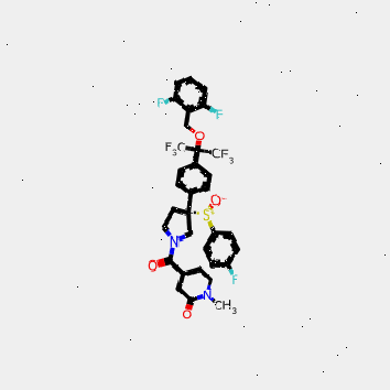 CN1CCC(C(=O)N2CC[C@](c3ccc(C(OCc4c(F)cccc4F)(C(F)(F)F)C(F)(F)F)cc3)([S+]([O-])c3ccc(F)cc3)C2)CC1=O